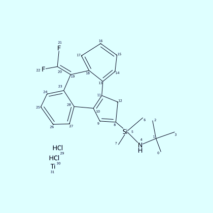 CC(C)(C)N[Si](C)(C)C1=CC2=C(C1)c1ccccc1C(=C(F)F)c1ccccc12.Cl.Cl.[Ti]